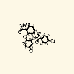 CNC(=O)c1ccccc1Oc1ncc(Cl)cc1NS(=O)(=O)c1ccc(Cl)cc1